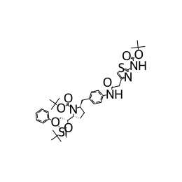 CC(C)(C)OC(=O)Nc1nc(CC(=O)Nc2ccc(C[C@H]3CC[C@H]([C@@H](COc4ccccc4)O[Si](C)(C)C(C)(C)C)N3C(=O)OC(C)(C)C)cc2)cs1